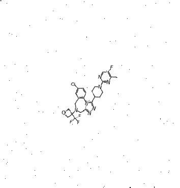 Cc1nc(N2CCC(c3nnc4n3-c3ccc(Cl)cc3CN(C3(C(F)(F)F)COC3)C4)CC2)ncc1F